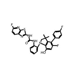 CC1(C)CN(c2ccccc2NC(=O)Nc2nc3ccc(F)nc3s2)c2c(O)cc(F)c(-c3ccc(F)cc3)c21